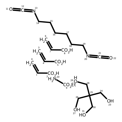 C=CC(=O)O.C=CC(=O)O.C=CC(=O)O.CCOC(N)=O.O=C=NCCCCCCN=C=O.OCC(CO)(CO)CO